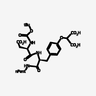 CCCCCNC(=O)[C@H](Cc1ccc(OC(C(=O)O)C(=O)O)cc1)NC(=O)[C@@H](CC(=O)O)NC(=O)OC(C)(C)C